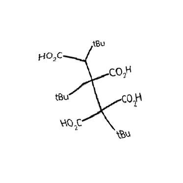 CC(C)(C)C(C(=O)O)C(C(=O)O)(C(C)(C)C)C(C(=O)O)(C(=O)O)C(C)(C)C